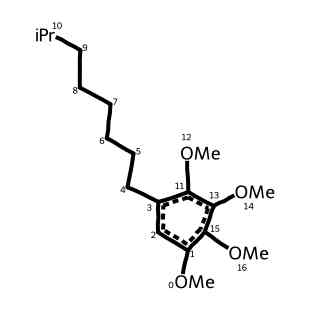 COc1cc(CCCCCCC(C)C)c(OC)c(OC)c1OC